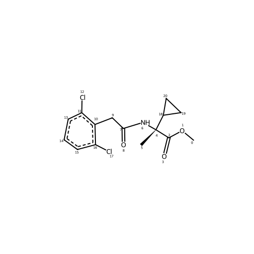 COC(=O)[C@](C)(NC(=O)Cc1c(Cl)cccc1Cl)C1CC1